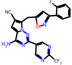 N#Cc1cc2c(N)nc(-c3cnc(C(F)(F)F)nc3)nn2c1Cc1cc(-c2ccccc2F)no1